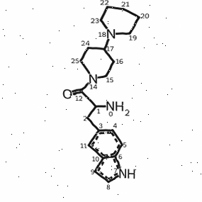 NC(Cc1ccc2[nH]ccc2c1)C(=O)N1CCC(N2CCCCC2)CC1